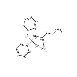 CC(Cc1ccccc1)(NC(=O)CCN)c1ccccc1.Cl